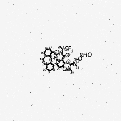 C[C@@H](N1CN([C@@H]2c3ccccc3SCc3cccc(Cl)c32)n2ccc(=O)c(O/C(N(C)C)=[N+](/C)COC=O)c2C1=O)C(F)(F)F